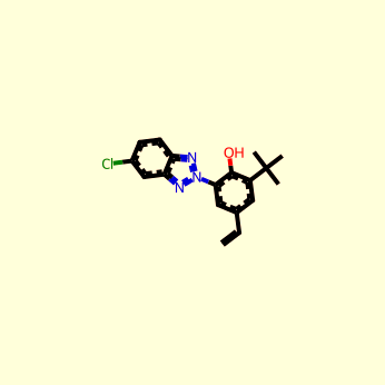 C=Cc1cc(-n2nc3ccc(Cl)cc3n2)c(O)c(C(C)(C)C)c1